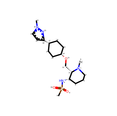 CC(=O)N1CCC[C@H](NS(C)(=O)=O)[C@@H]1CO[C@H]1CC[C@@H](c2ccn(C)n2)CC1